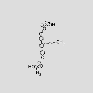 C=C(CO)C(=O)OCCOc1ccc(-c2ccc(C3=CCC(OCCOC(=O)C(=C)CO)C=C3)cc2CCCCCCC)cc1